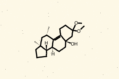 COC1(OC)CCC2=C3[C@@H](CC[C@@]2(O)C1)[C@@H]1CCC[C@@]1(C)C[C@@H]3C